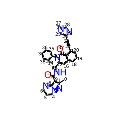 Cc1nn2cccnc2c1C(=O)N[C@H](C)c1cc2cccc(C#Cc3cn(C)cn3)c2c(=O)n1-c1ccccc1